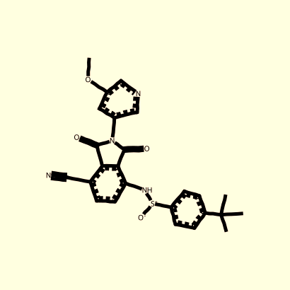 COc1cncc(N2C(=O)c3c(C#N)ccc(N[S+]([O-])c4ccc(C(C)(C)C)cc4)c3C2=O)c1